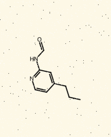 CCCc1ccnc(NC=O)c1